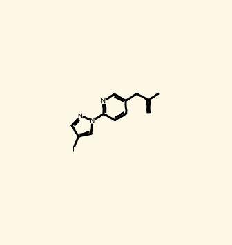 C=C(C)Cc1ccc(-n2cc(I)cn2)nc1